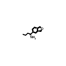 CCC[C@@H](N)c1ccc2cocc2c1